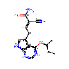 CCC(C)Oc1ncnc2[nH]cc(C/C=C(\C#N)C(N)=O)c12